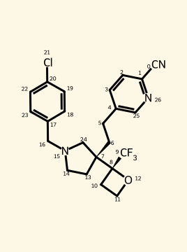 N#Cc1ccc(CC[C@@]2([C@@]3(C(F)(F)F)CCO3)CCN(Cc3ccc(Cl)cc3)C2)cn1